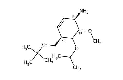 CO[C@@H]1C(OC(C)C)[C@@H](COC(C)(C)C)C=C[C@H]1N